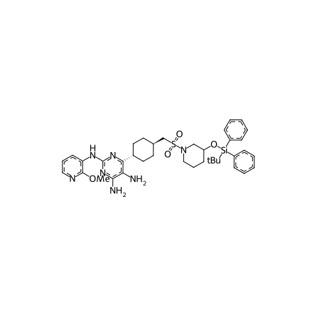 COc1ncccc1Nc1nc(N)c(N)c([C@H]2CC[C@H](CS(=O)(=O)N3CCCC(O[Si](c4ccccc4)(c4ccccc4)C(C)(C)C)C3)CC2)n1